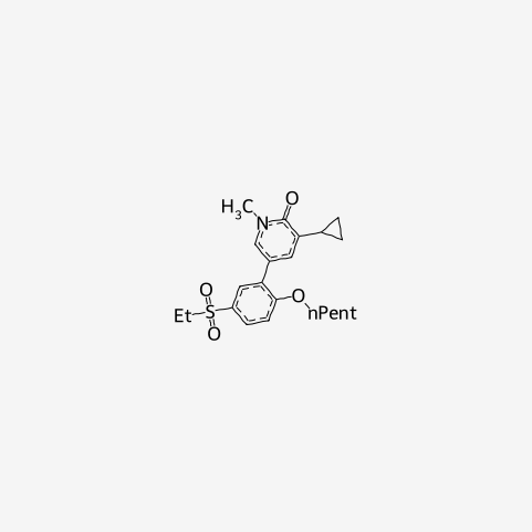 CCCCCOc1ccc(S(=O)(=O)CC)cc1-c1cc(C2CC2)c(=O)n(C)c1